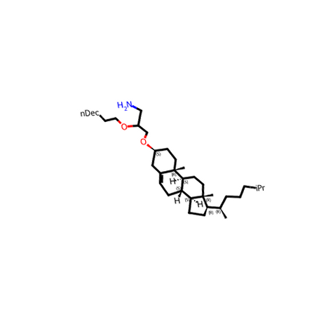 CCCCCCCCCCCCOC(CN)CO[C@H]1CC[C@@]2(C)C(=CC[C@H]3[C@@H]4CC[C@H]([C@H](C)CCCC(C)C)[C@@]4(C)CC[C@@H]32)C1